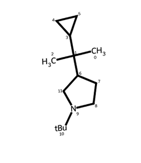 CC(C)(C1CC1)C1CCN(C(C)(C)C)C1